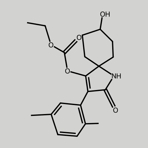 CCOC(=O)OC1=C(c2cc(C)ccc2C)C(=O)NC12CCC(O)CC2